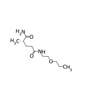 CCCOCCNC(=O)[CH]C[C@H](C)C(N)=O